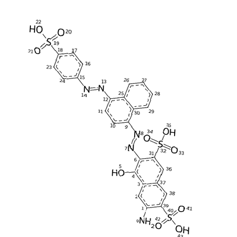 Nc1cc2c(O)c(/N=N/c3ccc(/N=N/c4ccc(S(=O)(=O)O)cc4)c4ccccc34)c(S(=O)(=O)O)cc2cc1S(=O)(=O)O